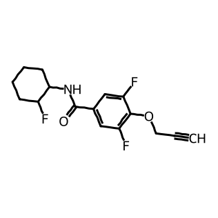 C#CCOc1c(F)cc(C(=O)NC2CCCCC2F)cc1F